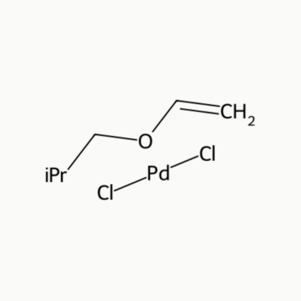 C=COCC(C)C.[Cl][Pd][Cl]